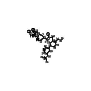 C=C(C(=O)[C@H](C)c1ccc(N[SH](C)(=O)C=O)nc1)c1cc(-c2cncc(CN(C)C)c2)ccc1CCC